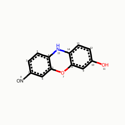 O=Nc1ccc2c(c1)Oc1cc(O)ccc1N2